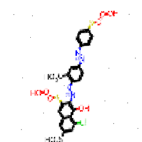 O=C(O)c1cc(/N=N/c2ccc(SOOO)cc2)ccc1/N=N/c1c(SOOO)cc2cc(S(=O)(=O)O)cc(Cl)c2c1O